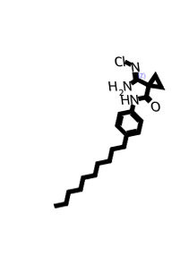 CCCCCCCCCCc1ccc(NC(=O)C2(/C(N)=N/Cl)CC2)cc1